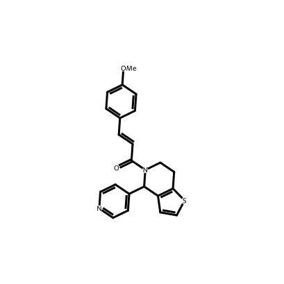 COc1ccc(C=CC(=O)N2CCc3sccc3C2c2ccncc2)cc1